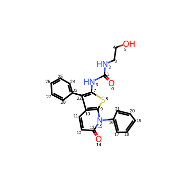 O=C(NCCO)Nc1sc2c(ccc(=O)n2-c2ccccc2)c1-c1ccccc1